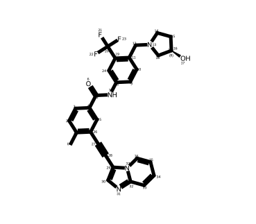 Cc1ccc(C(=O)Nc2ccc(CN3CC[C@@H](O)C3)c(C(F)(F)F)c2)cc1C#Cc1cnc2ccccn12